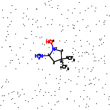 NC1CC(C(F)(F)F)(C(F)(F)F)CN1O